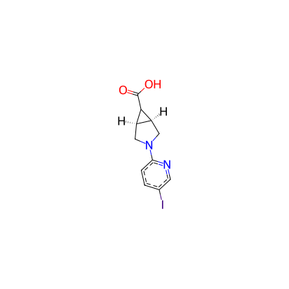 O=C(O)C1[C@H]2CN(c3ccc(I)cn3)C[C@@H]12